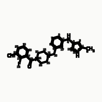 Cc1cc(Nc2cccc(CN3CCN(C(=O)c4cccc(Cl)c4F)CC3)n2)n[nH]1